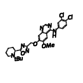 COc1cc2c(Nc3ccc(Cl)c(Cl)c3)ncnc2cc1OCc1noc(C2CCCCN2C(C)(C)C)n1